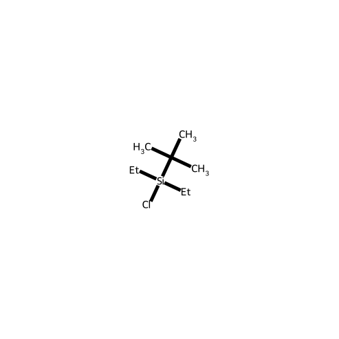 CC[Si](Cl)(CC)C(C)(C)C